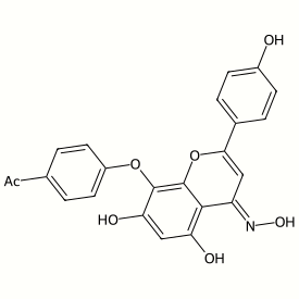 CC(=O)c1ccc(Oc2c(O)cc(O)c3c(=NO)cc(-c4ccc(O)cc4)oc23)cc1